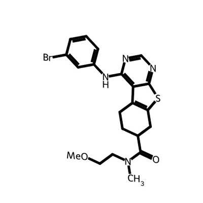 COCCN(C)C(=O)C1CCc2c(sc3ncnc(Nc4cccc(Br)c4)c23)C1